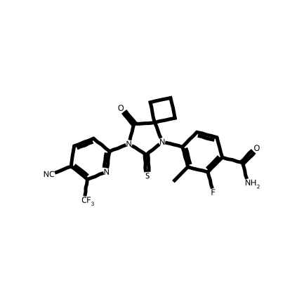 Cc1c(N2C(=S)N(c3ccc(C#N)c(C(F)(F)F)n3)C(=O)C23CCC3)ccc(C(N)=O)c1F